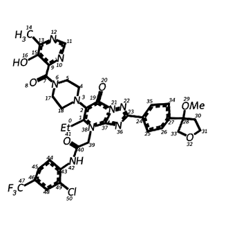 CCc1c(N2CCN(C(=O)c3ncnc(C)c3O)CC2)c(=O)n2nc(-c3ccc(C4(OC)CCOC4)cc3)nc2n1CC(=O)Nc1ccc(C(F)(F)F)cc1Cl